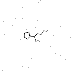 O=CCCC(C=O)c1nccs1